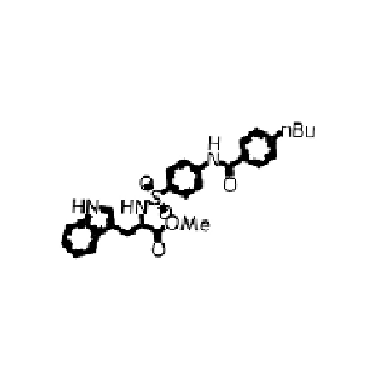 CCCCc1ccc(C(=O)Nc2ccc(S(=O)(=O)NC(Cc3c[nH]c4ccccc34)C(=O)OC)cc2)cc1